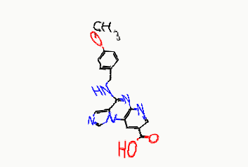 COc1ccc(CNc2nc3ncc(C(=O)O)cc3n3cncc23)cc1